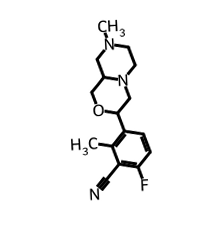 Cc1c(C2CN3CCN(C)CC3CO2)ccc(F)c1C#N